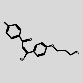 Cc1ccc(C(=O)C=C(c2ccc(OCCCC(F)(F)F)cc2)C(F)(F)F)cc1